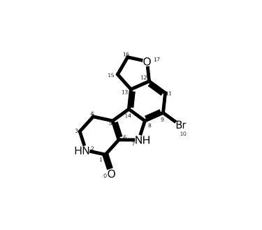 O=C1NCCc2c1[nH]c1c(Br)cc3c(c21)CCO3